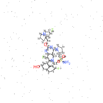 CCc1c(F)ccc2cc(O)cc(-c3ncc4c(N5CCC[C@H]5CS(N)(=O)=O)nc(OC[C@@]56CCCN5C[C@H](F)C6)nc4c3F)c12